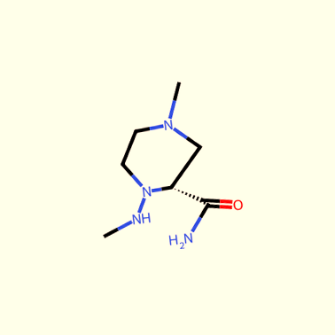 CNN1CCN(C)C[C@@H]1C(N)=O